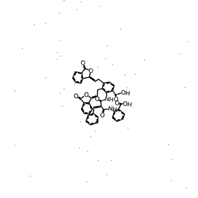 O=C(Nc1ccccc1C(=O)O)C(=Cc1ccccc1)C(=O)Nc1c(C(=O)O)ccc(CC=C2OC(=O)c3ccccc32)c1CC=C1OC(=O)c2ccccc21